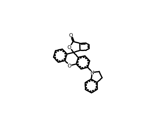 O=C1OC2(c3ccccc3Oc3cc(N4CCc5ccccc54)ccc32)C2CC=CC=C12